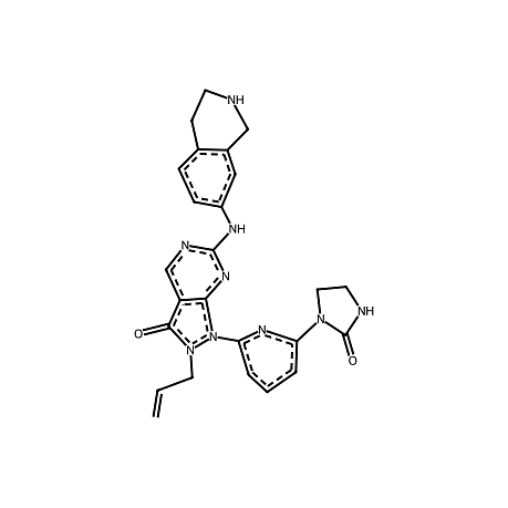 C=CCn1c(=O)c2cnc(Nc3ccc4c(c3)CNCC4)nc2n1-c1cccc(N2CCNC2=O)n1